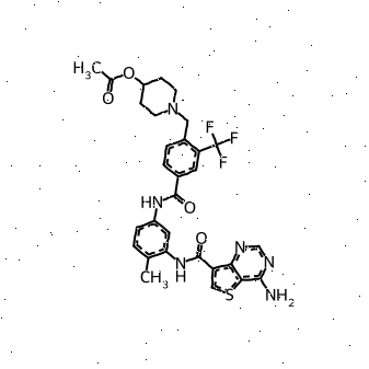 CC(=O)OC1CCN(Cc2ccc(C(=O)Nc3ccc(C)c(NC(=O)c4csc5c(N)ncnc45)c3)cc2C(F)(F)F)CC1